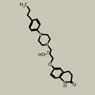 CCCc1ccc(N2CCN(C[C@@H](O)COc3ccc4c(c3)CCC(=O)N4)CC2)cc1